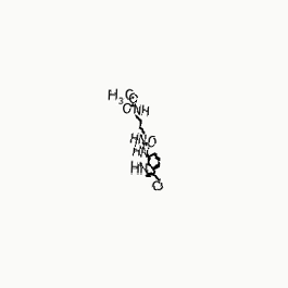 COC(=O)NCCCCNC(=O)Nc1cccc2c(C=O)c[nH]c12